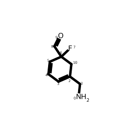 NCC1=CC=CC(F)(C=O)C1